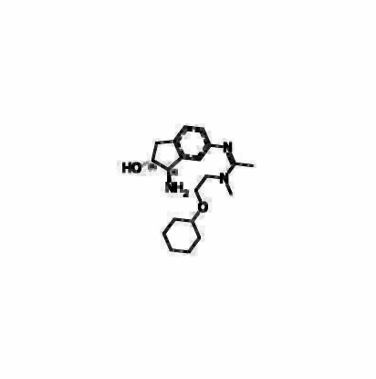 CC(=Nc1ccc2c(c1)[C@@H](N)[C@H](O)C2)N(C)CCOC1CCCCC1